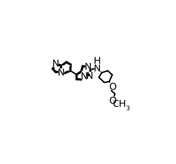 COCCO[C@H]1CC[C@H](Nc2ncc3c(-c4ccc5nccn5c4)ccn3n2)CC1